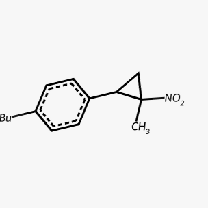 CC(C)(C)c1ccc(C2CC2(C)[N+](=O)[O-])cc1